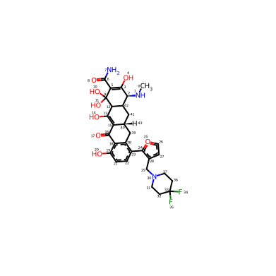 CN[C@@H]1C(O)=C(C(N)=O)C(O)(O)C2C(O)=C3C(=O)c4c(O)ccc(-c5occc5CN5CCC(F)(F)CC5)c4C[C@H]3CC21